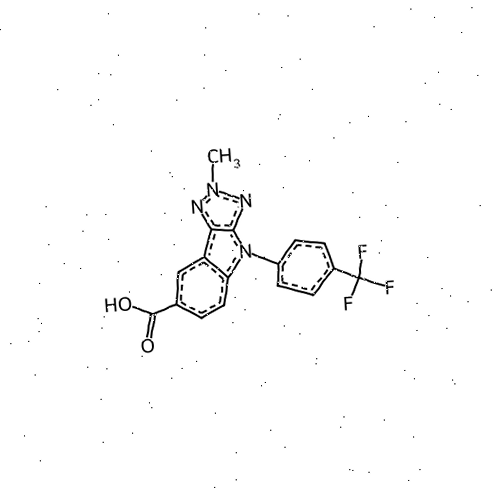 Cn1nc2c3cc(C(=O)O)ccc3n(-c3ccc(C(F)(F)F)cc3)c2n1